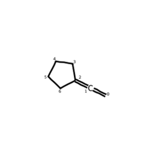 C=C=C1CCCC1